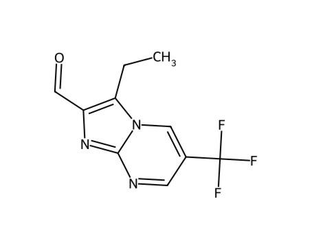 CCc1c(C=O)nc2ncc(C(F)(F)F)cn12